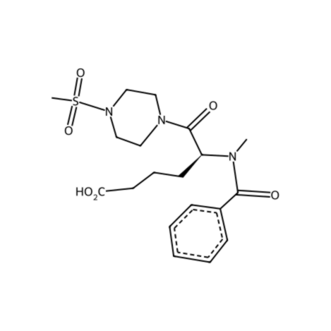 CN(C(=O)c1ccccc1)[C@@H](CCCC(=O)O)C(=O)N1CCN(S(C)(=O)=O)CC1